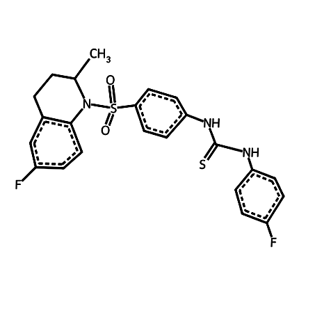 CC1CCc2cc(F)ccc2N1S(=O)(=O)c1ccc(NC(=S)Nc2ccc(F)cc2)cc1